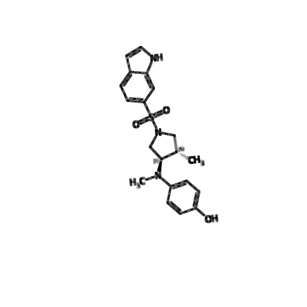 C[C@H]1CN(S(=O)(=O)c2ccc3cc[nH]c3c2)C[C@@H]1N(C)c1ccc(O)cc1